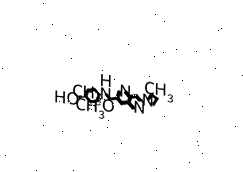 CC1CCN1c1cc2ncc(C(=O)N[C@H]3CC[C@H](C(C)(C)O)CC3)cc2cn1